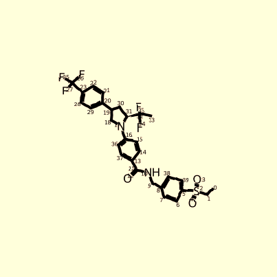 CCS(=O)(=O)c1ccc(CNC(=O)c2ccc(N3CC(c4ccc(C(F)(F)F)cc4)C[C@H]3C(C)(F)F)cc2)cc1